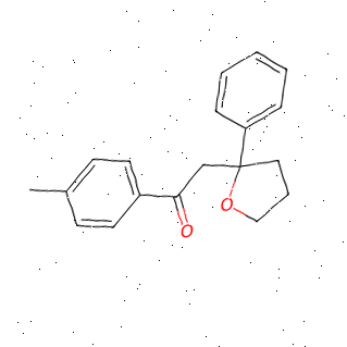 Cc1ccc(C(=O)CC2(c3ccccc3)CCCO2)cc1